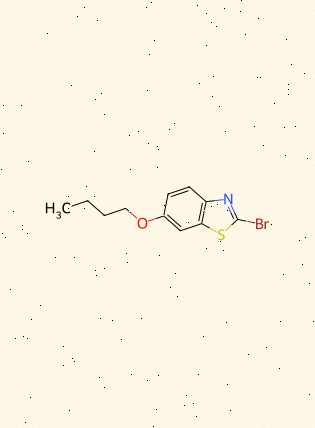 CCCCOc1ccc2nc(Br)sc2c1